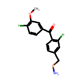 COc1cc(C(=O)c2ccc(CSN)cc2Br)ccc1F